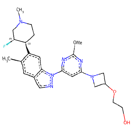 COc1nc(N2CC(OCCO)C2)cc(-n2ncc3cc(C)c([C@@H]4CCN(C)C[C@@H]4F)cc32)n1